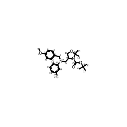 COc1ccc(CN(CC2COC(C)(C)N2C(=O)OC(C)(C)C)c2cccc(F)c2)cc1